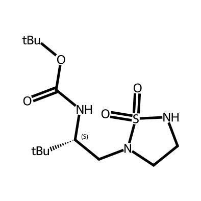 CC(C)(C)OC(=O)N[C@H](CN1CCNS1(=O)=O)C(C)(C)C